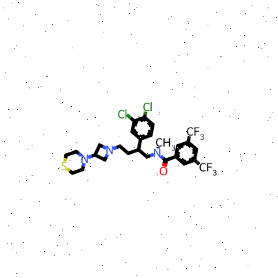 CN(CC(CCN1CC(N2CCSCC2)C1)c1ccc(Cl)c(Cl)c1)C(=O)c1cc(C(F)(F)F)cc(C(F)(F)F)c1